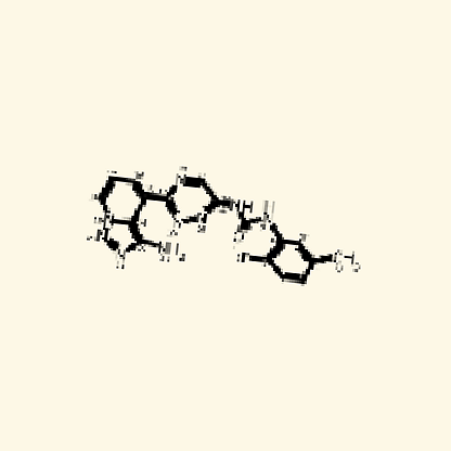 Cc1ccc(F)c(NC(=O)Nc2cnc(-c3cccn4nnc(N)c34)nn2)c1